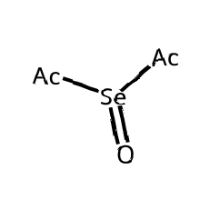 CC(=O)[Se](=O)C(C)=O